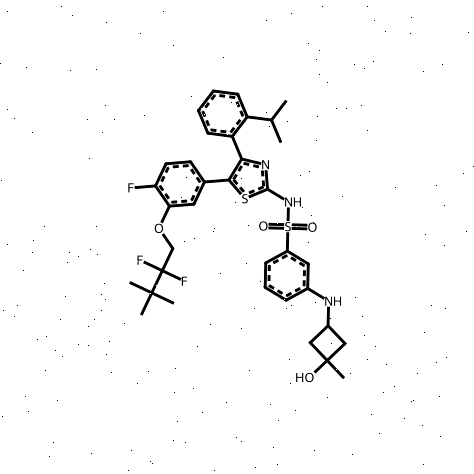 CC(C)c1ccccc1-c1nc(NS(=O)(=O)c2cccc(NC3CC(C)(O)C3)c2)sc1-c1ccc(F)c(OCC(F)(F)C(C)(C)C)c1